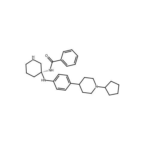 O=C(N[C@]1(Nc2ccc(C3CCN(C4CCCC4)CC3)cc2)CCCNC1)c1ccccc1